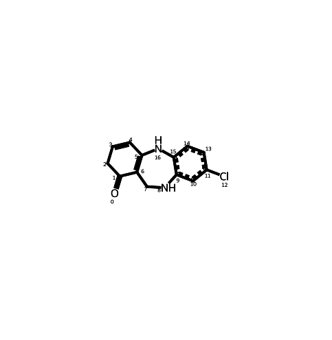 O=C1CC=CC2=C1CNc1cc(Cl)ccc1N2